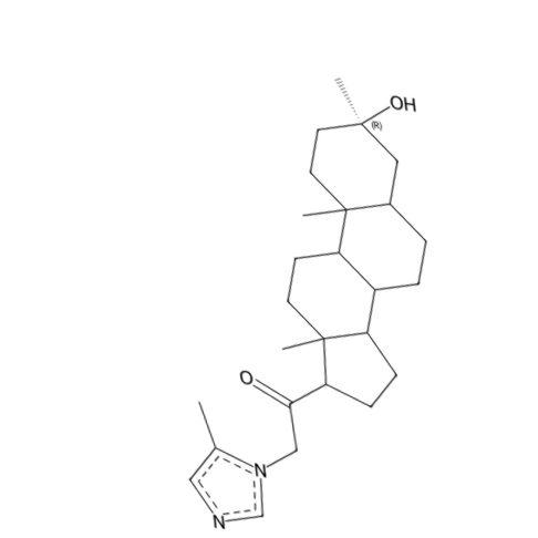 Cc1cncn1CC(=O)C1CCC2C3CCC4C[C@](C)(O)CCC4(C)C3CCC12C